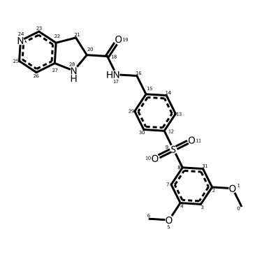 COc1cc(OC)cc(S(=O)(=O)c2ccc(CNC(=O)C3Cc4cnccc4N3)cc2)c1